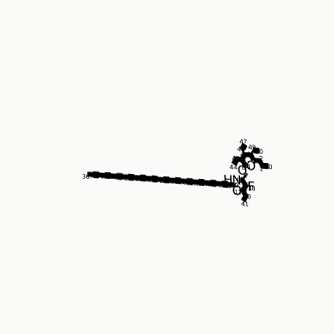 C=CCC1O[C@H](OC[C@H](NC(=O)C#CC#CC#CC#CC#CC#CC#CC#CC#CC#CC#CC#CC)[C@H](F)CCC)C(C=C)[C@@H](C=C)[C@H]1C=C